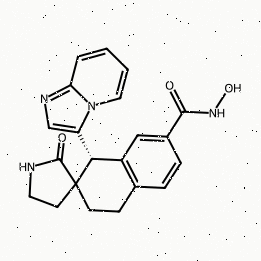 O=C(NO)c1ccc2c(c1)[C@@H](c1cnc3ccccn13)C1(CCNC1=O)CC2